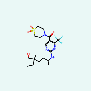 CCC(C)(CO)CCC(C)Nc1ncc(C(=O)N2CCS(=O)(=O)CC2)c(C(F)(F)F)n1